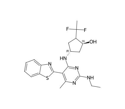 CCNc1nc(C)c(-c2nc3ccccc3s2)c(N[C@@H]2CC(C(C)(F)F)[C@@H](O)C2)n1